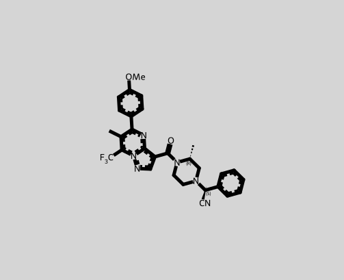 COc1ccc(-c2nc3c(C(=O)N4CCN([C@H](C#N)c5ccccc5)C[C@H]4C)cnn3c(C(F)(F)F)c2C)cc1